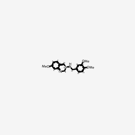 COc1ccc2c(c1)=NCN(NCc1ccc(OC)c(OC)c1)C=2